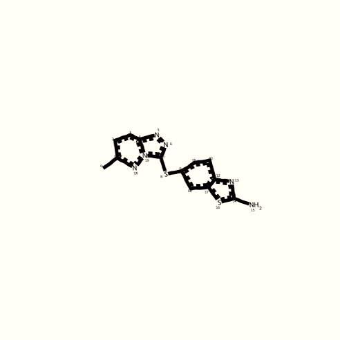 Cc1ccc2nnc(Sc3ccc4nc(N)sc4c3)n2n1